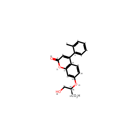 Cc1ccccc1-c1cc(=O)oc2cc(O[C@H](CO)C(=O)O)ccc12